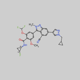 COc1cc(-c2c3c(C#N)cc(-c4cnn(CC5CC5)c4)cc3nn2C)cc(OC(F)F)c1C(=O)N[C@@H]1C[C@@H]1F